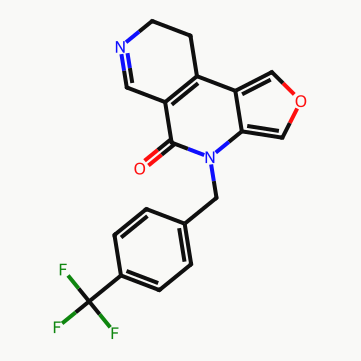 O=c1c2c(c3cocc3n1Cc1ccc(C(F)(F)F)cc1)CCN=C2